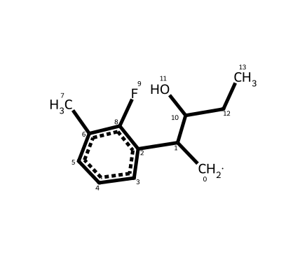 [CH2]C(c1cccc(C)c1F)C(O)CC